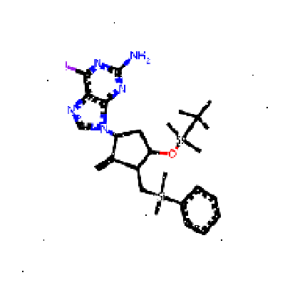 C=C1C(C[Si](C)(C)c2ccccc2)C(O[Si](C)(C)C(C)(C)C)CC1n1cnc2c(I)nc(N)nc21